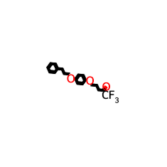 O=C(CCCOc1ccc(OCCCc2ccccc2)cc1)C(F)(F)F